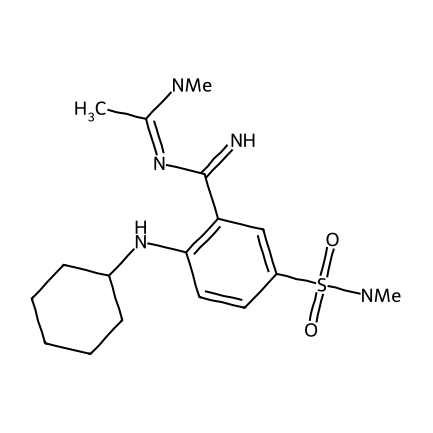 CN/C(C)=N\C(=N)c1cc(S(=O)(=O)NC)ccc1NC1CCCCC1